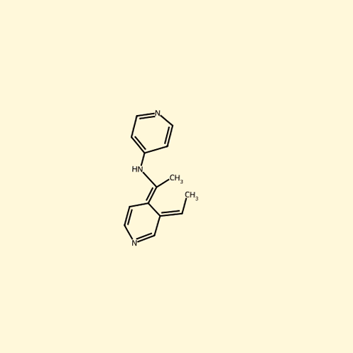 C/C=c1/cncc/c1=C(/C)Nc1ccncc1